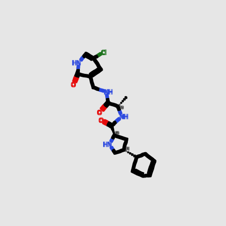 C[C@H](NC(=O)[C@H]1C[C@H](C2C=CC=CC2)CN1)C(=O)NCc1cc(Cl)c[nH]c1=O